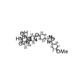 COc1ccc(-c2nc(-c3ccc(Oc4ccc(N5CCCC56C(=O)NC(=O)NC6=O)cn4)cc3)no2)cc1